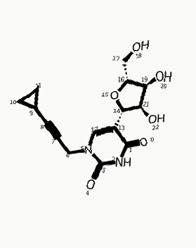 O=c1[nH]c(=O)n(CC#CC2CC2)cc1[C@@H]1O[C@H](CO)[C@@H](O)[C@H]1O